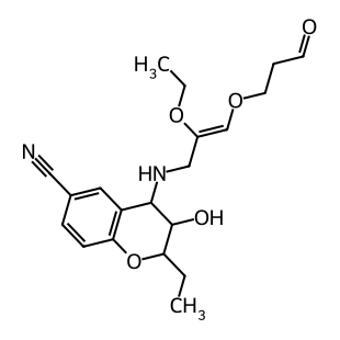 CCO/C(=C\OCCC=O)CNC1c2cc(C#N)ccc2OC(CC)C1O